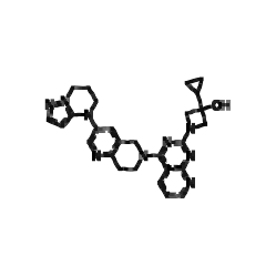 OC1(C2CC2)CN(c2nc(N3CCc4ncc(N5CCCn6nccc65)cc4C3)c3cccnc3n2)C1